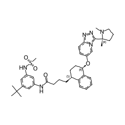 CN1CCC[C@]1(C)c1nnc2ccc(O[C@@H]3CC[C@H](CCCC(=O)Nc4cc(NS(C)(=O)=O)cc(C(C)(C)C)c4)c4ccccc43)cn12